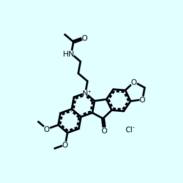 COc1cc2c[n+](CCCNC(C)=O)c3c(c2cc1OC)C(=O)c1cc2c(cc1-3)OCO2.[Cl-]